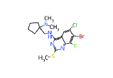 CSc1nc(NCC2(N(C)C)CCCC2)c2cc(Cl)c(Br)c(F)c2n1